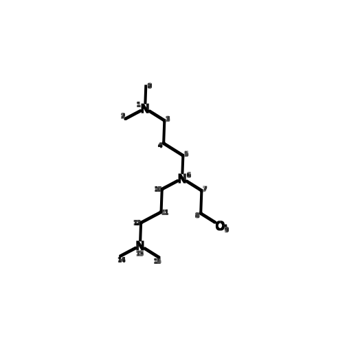 CN(C)CCCN(CC[O])CCCN(C)C